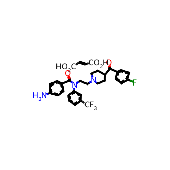 Nc1ccc(C(=O)N(CCN2CCC(C(=O)c3ccc(F)cc3)CC2)c2cccc(C(F)(F)F)c2)cc1.O=C(O)C=CC(=O)O